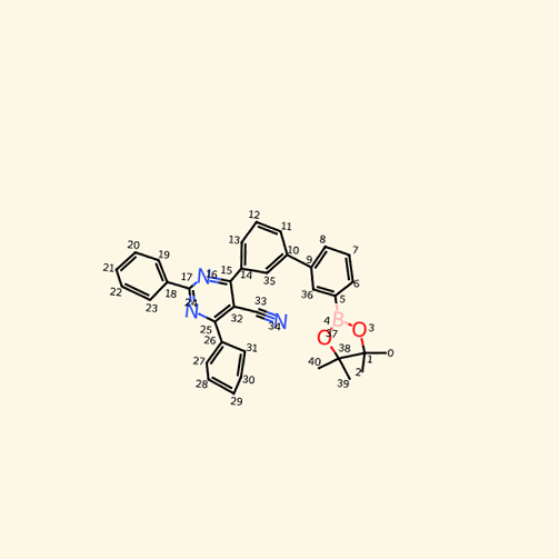 CC1(C)OB(c2cccc(-c3cccc(-c4nc(-c5ccccc5)nc(-c5ccccc5)c4C#N)c3)c2)OC1(C)C